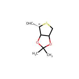 CC1(C)OC2CS[C@@H](C=O)C2O1